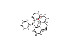 c1ccc(P(c2ccccc2)c2cccc3ncc4ccccc4c23)cc1